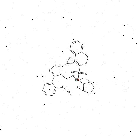 O=S(=O)(NC1C2CCC1CC(OCc1c(-c3ccccc3OC(F)(F)F)noc1C1CC1)C2)c1ccc2ccccc2c1